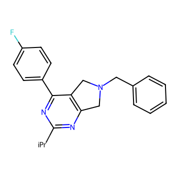 CC(C)c1nc2c(c(-c3ccc(F)cc3)n1)CN(Cc1ccccc1)C2